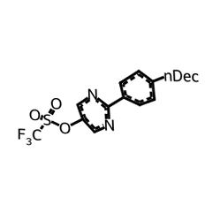 CCCCCCCCCCc1ccc(-c2ncc(OS(=O)(=O)C(F)(F)F)cn2)cc1